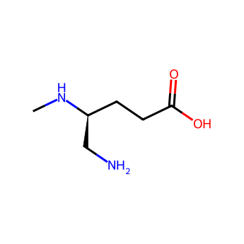 CN[C@H](CN)CCC(=O)O